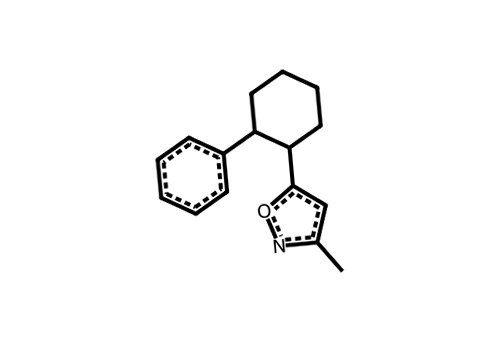 Cc1cc(C2CCCCC2c2ccccc2)on1